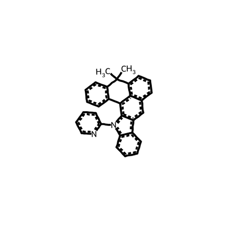 CC1(C)c2ccccc2-c2c3c1cccc3cc1c3ccccc3n(-c3ccccn3)c21